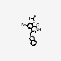 O=c1[nH]nc(CN2Cc3ccccc3C2)c2cc(Br)cc(OC(F)F)c12